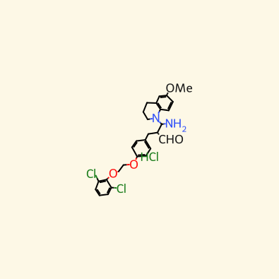 COc1ccc2c(c1)CCCN2C(N)C(C=O)Cc1ccc(OCCOc2c(Cl)cccc2Cl)cc1.Cl